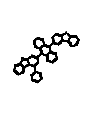 c1ccc(-c2cc(-c3c4ccccc4c(-c4ccc5oc6ccccc6c5c4)c4ccccc34)nc3nc4ccccc4n23)cc1